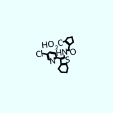 O=C(O)C1=C(C(=O)Nc2sc3c(c2-c2ccc(Cl)cn2)CCCC3)CCC1